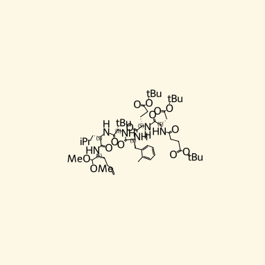 C=CCC[C@H](NC(=O)[C@H](CC(C)C)NC(=O)[C@@H](NC(=O)[C@H](Cc1ccccc1C)NC(=O)[C@H](CCC(=O)OC(C)(C)C)NC(=O)[C@H](CC(=O)OC(C)(C)C)NC(=O)CCC(=O)OC(C)(C)C)C(C)(C)C)C(OC)OC